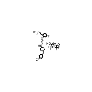 O=C(O)C(F)(F)F.O=C(O)C(F)(F)F.O=C(O)CCc1ccc(F)cc1OCCCNC1CCN(Cc2ccc(Cl)cc2)CC1